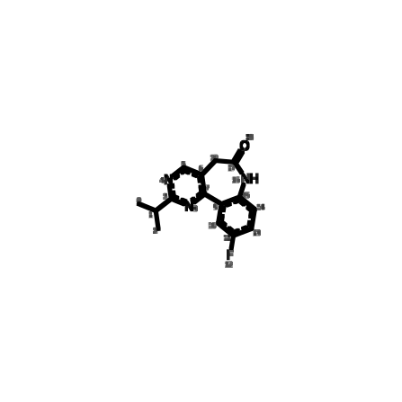 CC(C)c1ncc2c(n1)-c1cc(F)ccc1NC(=O)C2